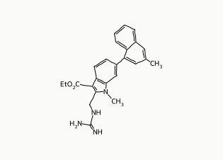 CCOC(=O)c1c(CNC(=N)N)n(C)c2cc(-c3cc(C)cc4ccccc34)ccc12